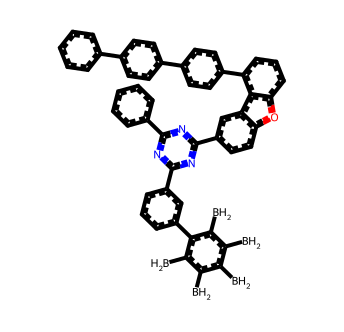 Bc1c(B)c(B)c(-c2cccc(-c3nc(-c4ccccc4)nc(-c4ccc5oc6cccc(-c7ccc(-c8ccc(-c9ccccc9)cc8)cc7)c6c5c4)n3)c2)c(B)c1B